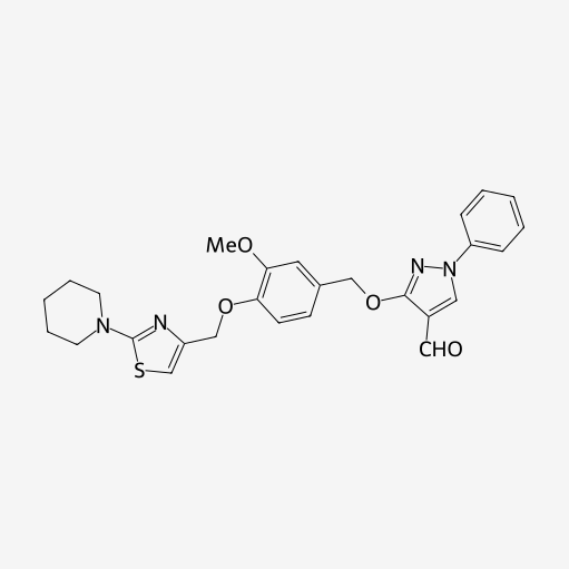 COc1cc(COc2nn(-c3ccccc3)cc2C=O)ccc1OCc1csc(N2CCCCC2)n1